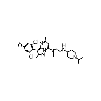 COc1cc(Cl)c(-c2c(C)nn3c(NCCNC4CCN(C(C)C)CC4)cc(C)nc23)c(Cl)c1